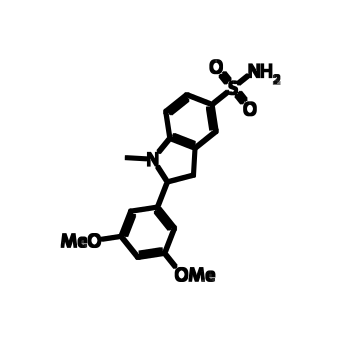 COc1cc(OC)cc(C2Cc3cc(S(N)(=O)=O)ccc3N2C)c1